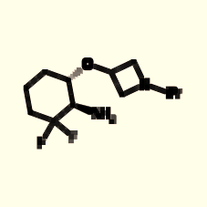 CC(C)N1CC(O[C@H]2CCCC(F)(F)[C@@H]2N)C1